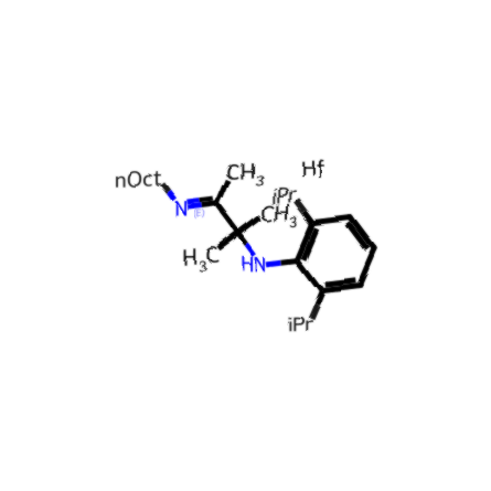 CCCCCCCC/N=C(\C)C(C)(C)Nc1c(C(C)C)cccc1C(C)C.[Hf]